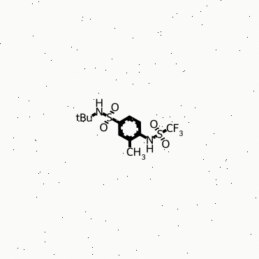 Cc1cc(S(=O)(=O)NC(C)(C)C)ccc1NS(=O)(=O)C(F)(F)F